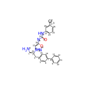 NC[C@H](Cc1ccc(-c2ccccc2)cc1)[n+]1cc([N-]C(=O)Nc2cccc(C(F)(F)F)c2)on1